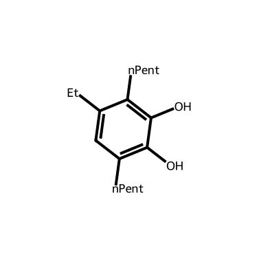 CCCCCc1cc(CC)c(CCCCC)c(O)c1O